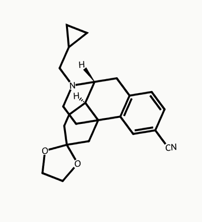 N#Cc1ccc2c(c1)C13CCN(CC4CC4)[C@H](C2)[C@@H]1CCC1(C3)OCCO1